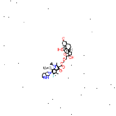 COc1c(N2CC3CCCNC3C2)c(F)c(C)c2c(=O)c(C(=O)OCOCC(=O)[C@@]3(O)CC[C@H]4[C@@H]5CCC6=CC(=O)CC[C@]6(C)[C@H]5[C@@H](O)C[C@@]43C)c(C)n(C3CC3)c12